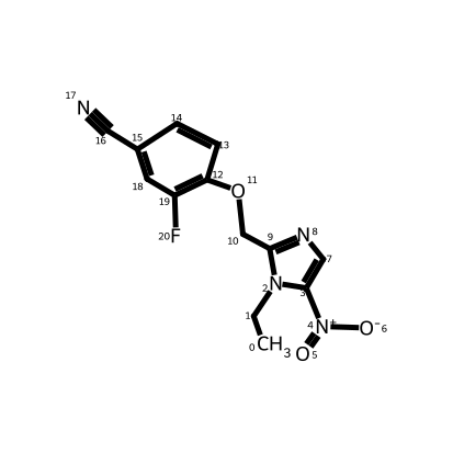 CCn1c([N+](=O)[O-])cnc1COc1ccc(C#N)cc1F